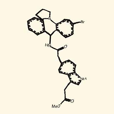 COC(=O)Cc1c[nH]c2ccc(CC(=O)NC(c3ccccc3)c3ccc(Br)cc3N3CCCC3)cc12